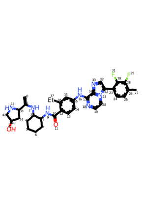 C=C(NC1CCCCC1NC(=O)c1ccc(Nc2nccn3c(-c4ccc(C)c(F)c4F)cnc23)cc1CC)C1CC(O)CN1